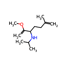 C=C(C)CCC(NC(C)C)C(=C)OC